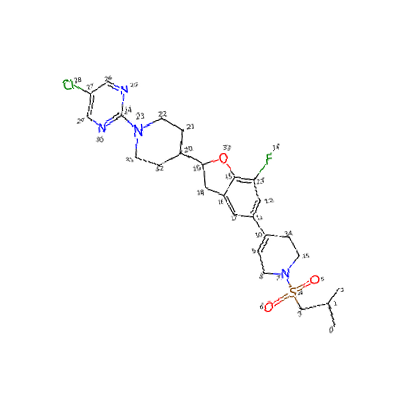 CC(C)CS(=O)(=O)N1CC=C(c2cc(F)c3c(c2)CC(C2CCN(c4ncc(Cl)cn4)CC2)O3)CC1